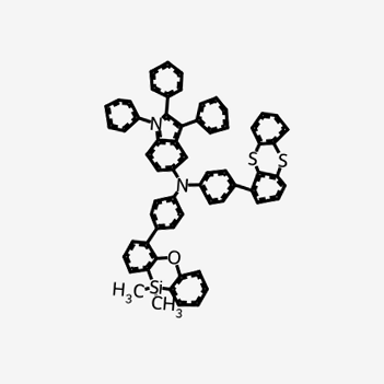 C[Si]1(C)c2ccccc2Oc2c(-c3ccc(N(c4ccc(-c5cccc6c5Sc5ccccc5S6)cc4)c4ccc5c(c4)c(-c4ccccc4)c(-c4ccccc4)n5-c4ccccc4)cc3)cccc21